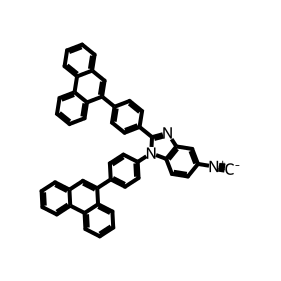 [C-]#[N+]c1ccc2c(c1)nc(-c1ccc(-c3cc4ccccc4c4ccccc34)cc1)n2-c1ccc(-c2cc3ccccc3c3ccccc23)cc1